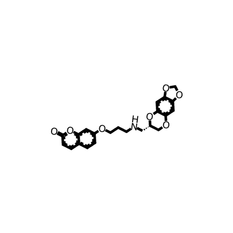 O=c1ccc2ccc(OCCCNC[C@H]3COc4cc5c(cc4O3)OCO5)cc2o1